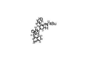 C[C@H](NC(=O)N(CCCN1CCOCC1)Cc1ccc(CNCC(C)(C)C)cc1)c1cccc2ccccc12